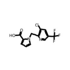 O=C(O)c1cccn1Cc1ncc(C(F)(F)F)cc1Cl